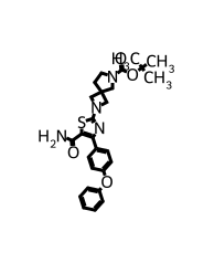 CC(C)(C)OC(=O)N1CCC2(C1)CN(c1nc(-c3ccc(Oc4ccccc4)cc3)c(C(N)=O)s1)C2